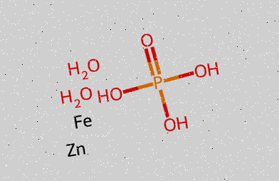 O.O.O=P(O)(O)O.[Fe].[Zn]